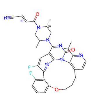 CC(C)c1nccc2c1-n1c(=O)nc(N3C[C@@H](C)N(C(=O)/C=C/C#N)CC3C)c3cc(F)c(nc31)-c1c(F)cccc1OCCC2